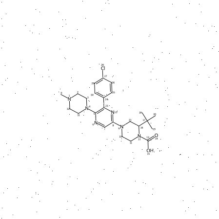 CN1CCN(c2ncc(N3CCN(C(=O)O)C(C(C)(C)C)C3)nc2-c2ccc(Cl)cc2)CC1